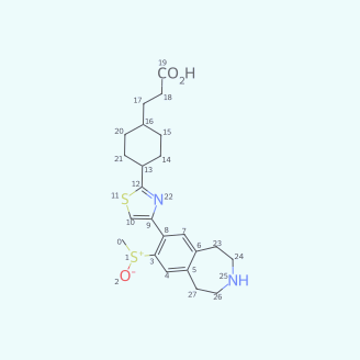 C[S+]([O-])c1cc2c(cc1-c1csc(C3CCC(CCC(=O)O)CC3)n1)CCNCC2